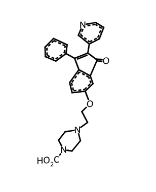 O=C1C(c2cccnc2)=C(c2ccccc2)c2ccc(OCCN3CCN(C(=O)O)CC3)cc21